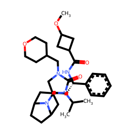 COC1CC(C(=O)N[C@@H](CCN2C3CCC2CC2(C3)CN(CC3CCOCC3)C(=O)N2C(C)C)c2ccccc2)C1